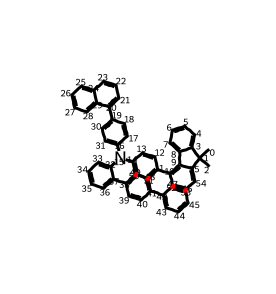 CC1(C)c2ccccc2-c2c(-c3ccc(N(c4ccc(-c5cccc6ccccc56)cc4)c4ccccc4-c4ccc(-c5ccccc5)cc4)cc3)cccc21